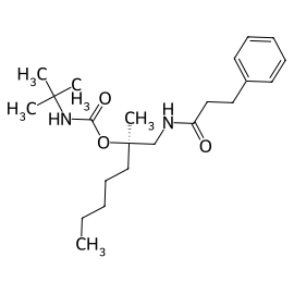 CCCCC[C@](C)(CNC(=O)CCc1ccccc1)OC(=O)NC(C)(C)C